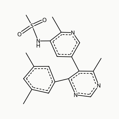 Cc1cc(C)cc(-c2ncnc(C)c2-c2cnc(C)c(NS(C)(=O)=O)c2)c1